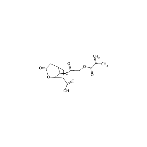 C=C(C)C(=O)OCC(=O)OC1C2CC(=O)OC1C(C(=O)O)C2